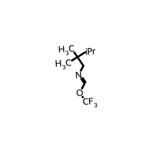 CC(C)C(C)(C)CN=COC(F)(F)F